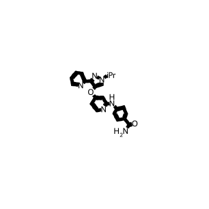 CC(C)n1cc(Oc2ccnc(Nc3ccc(C(N)=O)cc3)c2)c(-c2ccccn2)n1